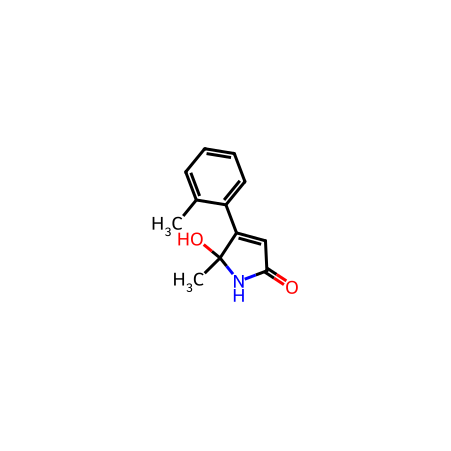 Cc1ccccc1C1=CC(=O)NC1(C)O